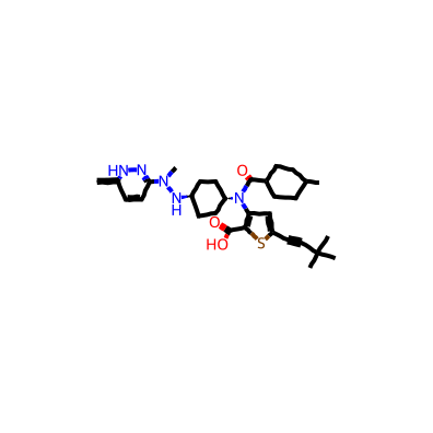 C=C1C=CC(N(C)N[C@H]2CC[C@H](N(C(=O)C3CCC(C)CC3)c3cc(C#CC(C)(C)C)sc3C(=O)O)CC2)=NN1